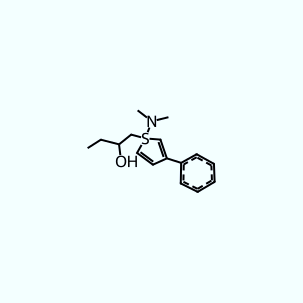 CCC(O)CS1(N(C)C)C=CC(c2ccccc2)=C1